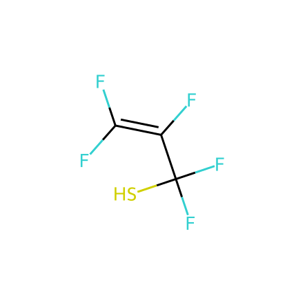 FC(F)=C(F)C(F)(F)S